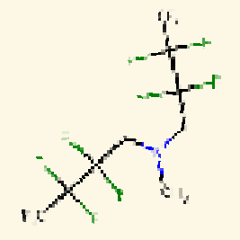 CN(CC(F)(F)C(F)(F)C(F)(F)F)CC(F)(F)C(F)(F)C(F)(F)F